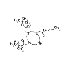 CCCCOC(=O)CN1CCNCCN(CC(=O)OC(C)(C)C)CCN(CC(=O)OC(C)(C)C)CC1